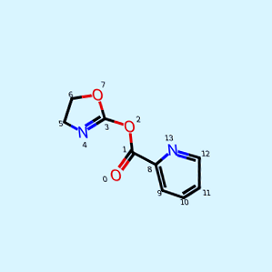 O=C(OC1=NCCO1)c1ccccn1